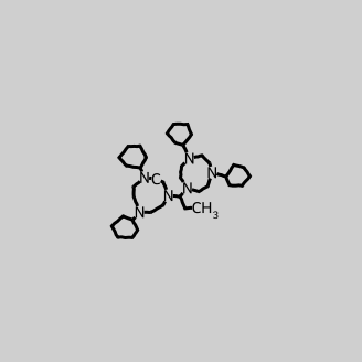 CCC(N1CCN(C2CCCCC2)CCN(C2CCCCC2)CC1)N1CCN(C2CCCCC2)CCN(C2CCCCC2)CC1